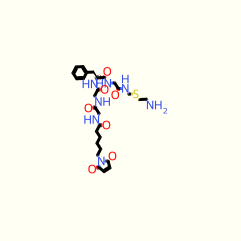 NCCSCNC(=O)CNC(=O)[C@H](Cc1ccccc1)NC(=O)CNC(=O)CNC(=O)CCCCCN1C(=O)C=CC1=O